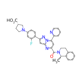 C[C@@H]1c2ccccc2CCN1C(=O)c1cc(-c2ccccn2)n2nc(-c3ccc(N4CC[C@H](C(=O)O)C4)cc3F)cc2n1